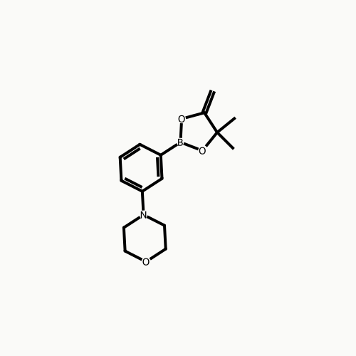 C=C1OB(c2cccc(N3CCOCC3)c2)OC1(C)C